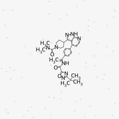 C[C@@H](NC(=O)c1nc(C(C)(C)C)no1)c1ccc(-c2ccnc3[nH]nc(C4CCN(C(=O)N(C)C)CC4)c23)cc1